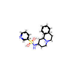 O=S(=O)(NC1CCN2CCc3ccccc3C2C1)c1cccnc1